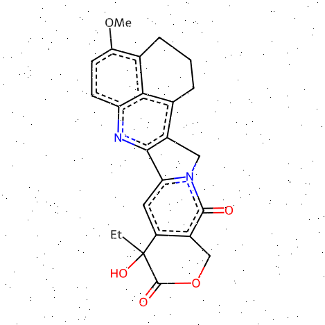 CCC1(O)C(=O)OCc2c1cc1n(c2=O)Cc2c-1nc1ccc(OC)c3c1c2CCC3